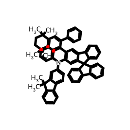 CC1(C)CCC(C)(C)c2cc(-c3cc4c(cc3N(c3ccccc3)c3ccc5c(c3)C(C)(C)c3ccccc3-5)C3(c5ccccc5-c5ccccc53)c3ccccc3-4)c(-c3ccccc3)cc21